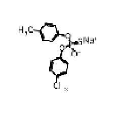 Cc1ccc(OP([O-])(=S)Oc2ccc(C)cc2)cc1.[Na+]